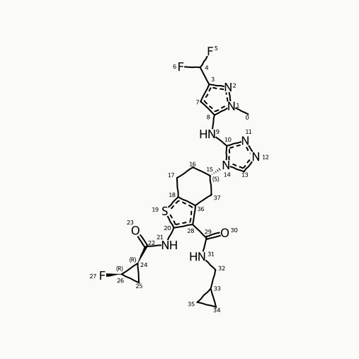 Cn1nc(C(F)F)cc1Nc1nncn1[C@H]1CCc2sc(NC(=O)[C@H]3C[C@H]3F)c(C(=O)NCC3CC3)c2C1